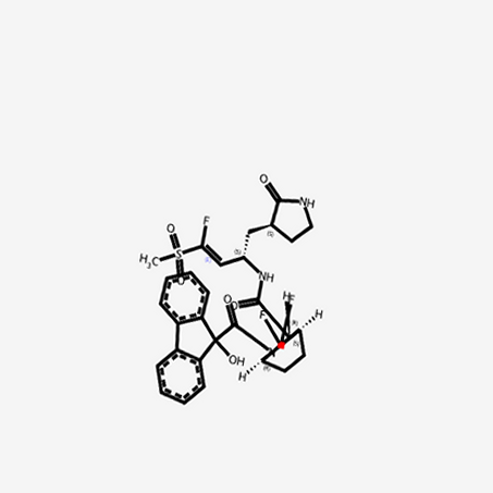 CS(=O)(=O)/C(F)=C/[C@H](C[C@@H]1CCNC1=O)NC(=O)[C@@H]1[C@H]2CC[C@H](CC2(F)F)N1C(=O)C1(O)c2ccccc2-c2ccccc21